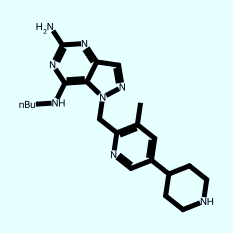 CCCCNc1nc(N)nc2cnn(Cc3ncc(C4CCNCC4)cc3C)c12